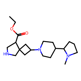 CCOC(=O)C1CNCC12CC(N1CCC(C3CCCN3C)CC1)C2